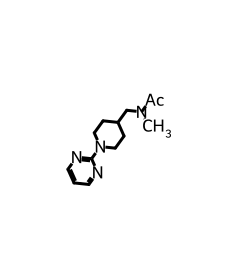 CC(=O)N(C)CC1CCN(c2ncccn2)CC1